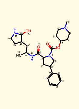 CN1CCC(OC(=O)N2CC(c3ccccc3)CC2C(=O)NC(C#N)CC2CCNC2O)CC1